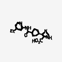 CCc1ccnc(NC(=O)c2ccc(-c3nc[nH]c3C(=O)O)cc2)c1